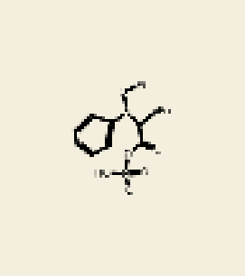 CCON(c1ccccc1)C(C(=O)OP(=O)(O)Cl)C(C)CC